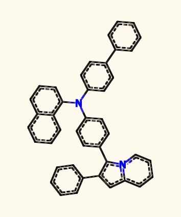 c1ccc(-c2ccc(N(c3ccc(-c4c(-c5ccccc5)cc5ccccn45)cc3)c3cccc4ccccc34)cc2)cc1